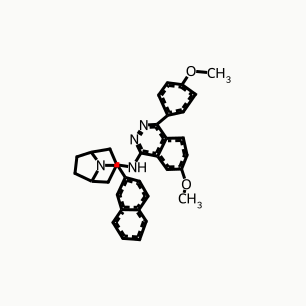 COc1ccc(-c2nnc(NC3CC4CCC(C3)N4Cc3ccc4ccccc4c3)c3cc(OC)ccc23)cc1